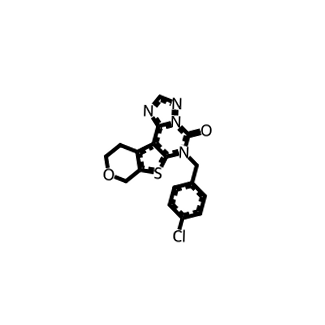 O=c1n(Cc2ccc(Cl)cc2)c2sc3c(c2c2ncnn12)CCOC3